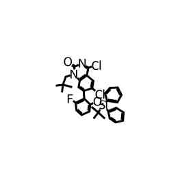 CC(C)(C)Cn1c(=O)nc(Cl)c2cc(Cl)c(-c3c(F)cccc3O[Si](c3ccccc3)(c3ccccc3)C(C)(C)C)cc21